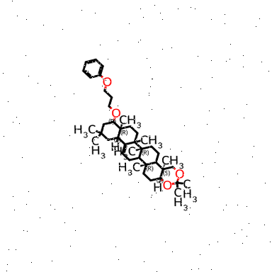 CC1(C)C[C@@H](OCCCOc2ccccc2)[C@]2(C)CCC3(C)C(=CCC4[C@@]5(C)CC[C@@H]6OC(C)(C)OC[C@]6(C)C5CC[C@]43C)[C@@H]2C1